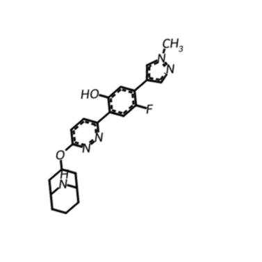 Cn1cc(-c2cc(O)c(-c3ccc(OC4CC5CCCC(C4)N5)nn3)cc2F)cn1